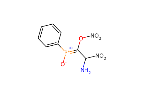 NC(/C(O[N+](=O)[O-])=[P+](\[O-])c1ccccc1)[N+](=O)[O-]